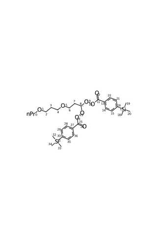 [CH2]CCOCCCOCC[C](OOC(=O)c1ccc([Si](C)(C)C)cc1)OOC(=O)c1ccc([Si](C)(C)C)cc1